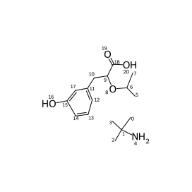 CC(C)(C)N.CC(C)OC(Cc1cccc(O)c1)C(=O)O